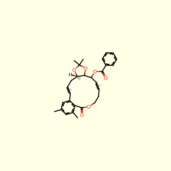 Cc1cc(C)c2c(c1)/C=C/C[C@@H]1OC(C)(C)OC1C(OC(=O)c1ccccc1)/C=C\CCOC2=O